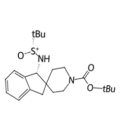 CC(C)(C)OC(=O)N1CCC2(CC1)Cc1ccccc1[C@@H]2N[S@+]([O-])C(C)(C)C